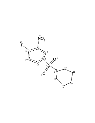 O=[N+]([O-])c1cc(S(=O)(=O)N2CCCCC2)ccc1F